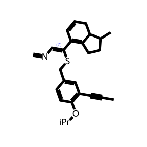 C=N/C=C(\SCc1ccc(OC(C)C)c(C#CC)c1)C1=C2CCC(C)C2CC=C1